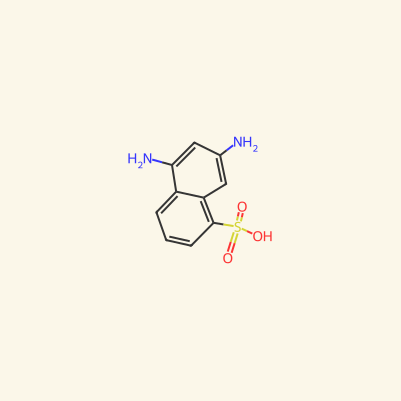 Nc1cc(N)c2cccc(S(=O)(=O)O)c2c1